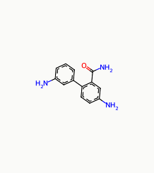 NC(=O)c1cc(N)ccc1-c1cccc(N)c1